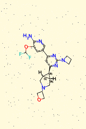 Nc1ncc(-c2cc([C@H]3[C@@H]4CN(C5COC5)C[C@@H]43)nc(N3CCC3)n2)cc1OC(F)F